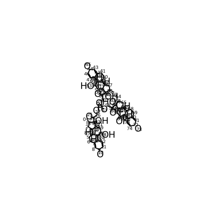 C[C@@H]1C[C@H]2[C@@H]3CCC4=CC(=O)C=C[C@]4(C)[C@@]3(F)[C@@H](O)C[C@]2(C)[C@@]1(O)C(=O)COP(OCC(=O)[C@@]1(O)[C@H](C)C[C@H]2[C@@H]3CCC4=CC(=O)C=C[C@]4(C)[C@@]3(F)[C@@H](O)C[C@@]21C)OCC(=O)[C@@]1(O)[C@H](C)C[C@H]2[C@@H]3CCC4=CC(=O)C=C[C@]4(C)[C@@]3(F)[C@@H](O)C[C@@]21C